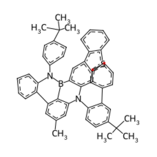 Cc1cc2c3c(c1)N(c1ccc(C(C)(C)C)cc1-c1ccccc1)c1cc4sc5ccccc5c4cc1B3N(c1ccc(C(C)(C)C)cc1)c1ccccc1-2